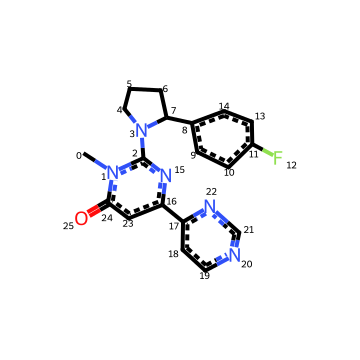 Cn1c(N2CCCC2c2ccc(F)cc2)nc(-c2ccncn2)cc1=O